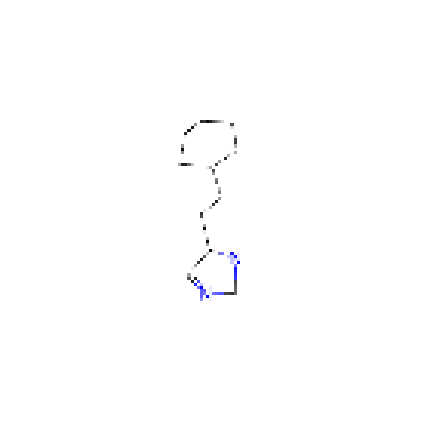 C1=NC=NC1CCC1CCCCC1